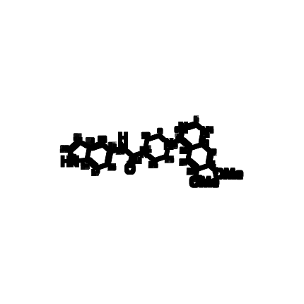 COc1cc2ncnc(N3CCN(C(=O)Nc4ccc5[nH]ccc5c4)CC3)c2cc1OC